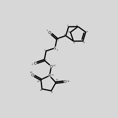 O=C(CSC(=O)C1CC2C=CC1C2)ON1C(=O)CCC1=O